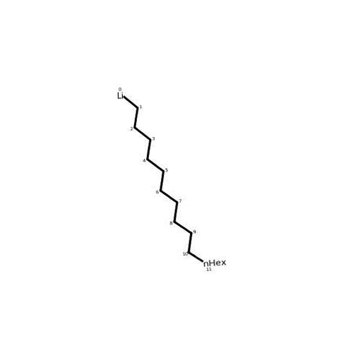 [Li][CH2]CCCCCCCCCCCCCCC